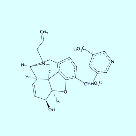 C=CCN1CC[C@]23c4c5ccc(O)c4O[C@H]2[C@@H](O)C=C[C@H]3[C@H]1C5.O=C(O)c1cncc(C(=O)O)c1